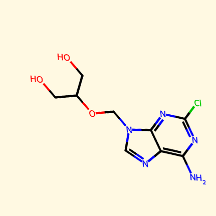 Nc1nc(Cl)nc2c1ncn2COC(CO)CO